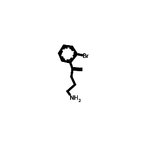 C=C(CCCN)c1ccccc1Br